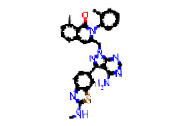 CNc1nc2ccc(-c3nn(Cc4cc5cccc(C)c5c(=O)n4-c4ccccc4C)c4ncnc(N)c34)cc2s1